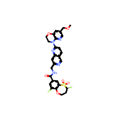 COCc1cnc2c(c1)OCCN2c1ccc2cnc(CNC(=O)c3cc(F)c4c(c3)S(=O)(=O)[C@@H](F)CCO4)cc2n1